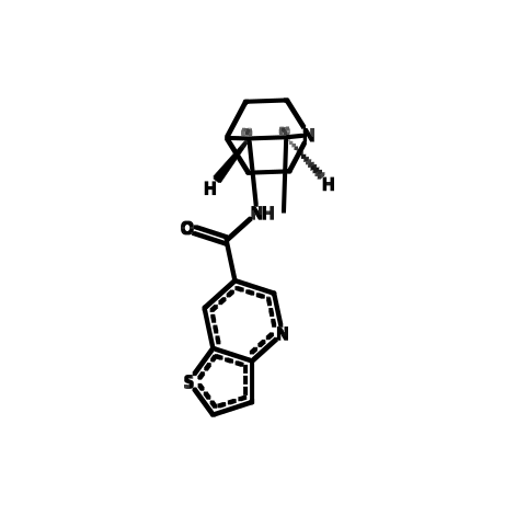 C[C@H]1[C@H](NC(=O)c2cnc3ccsc3c2)C2CCN1CC2